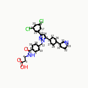 O=C(O)CCNC(=O)c1ccc(Cn2nc(-c3cc(Cl)cc(Cl)c3)cc2-c2ccc(-c3cccnc3)cc2)cc1